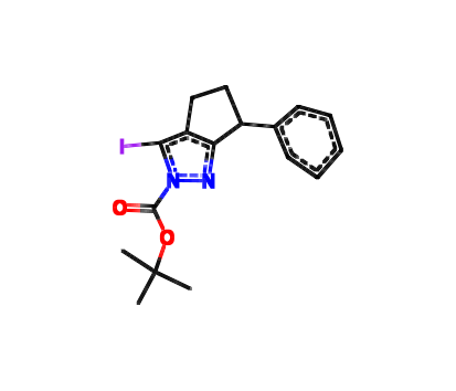 CC(C)(C)OC(=O)n1nc2c(c1I)CCC2c1ccccc1